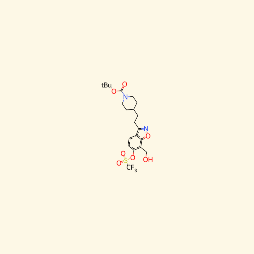 CC(C)(C)OC(=O)N1CCC(CCc2noc3c(CO)c(OS(=O)(=O)C(F)(F)F)ccc23)CC1